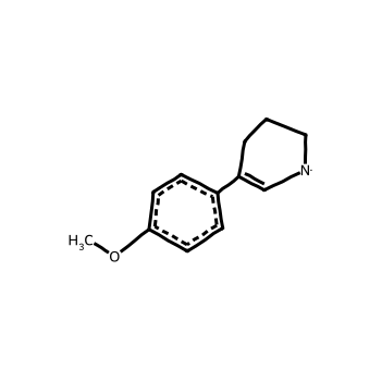 COc1ccc(C2=C[N]CCC2)cc1